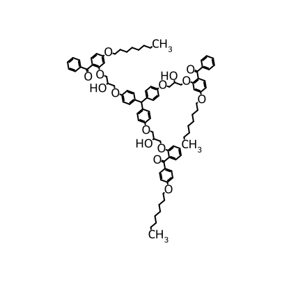 CCCCCCCCOc1ccc(C(=O)c2ccccc2OCC(O)COc2ccc(C(c3ccc(OCC(O)COc4cc(OCCCCCCCC)ccc4C(=O)c4ccccc4)cc3)c3ccc(OCC(O)COc4cc(OCCCCCCCC)ccc4C(=O)c4ccccc4)cc3)cc2)cc1